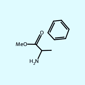 COC(=O)C(C)N.c1ccccc1